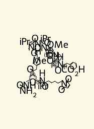 CC[C@H](C)[C@@H]([C@@H](CC(=O)N1CCC[C@H]1[C@H](OC)[C@@H](C)C(=O)N[C@@H](Cc1ccccc1)C(=O)O)OC)N(C)C(=O)[C@@H](NC(=O)[C@H](C(C)C)N(C)C(=O)OCc1ccc(CC(=O)[C@H](CCCNC(N)=O)CC(=O)[C@@H](NC(=O)CCCCCN2C(=O)C=CC2=O)C(C)C)cc1)C(C)C